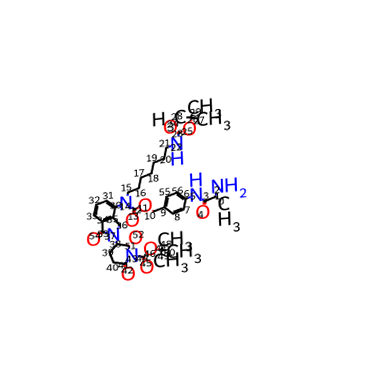 C[C@H](N)C(=O)Nc1ccc(COC(=O)N(CCCCCCCNC(=O)OC(C)(C)C)c2cccc3c2CN(C2CCC(=O)N(C(=O)OC(C)(C)C)C2=O)C3=O)cc1